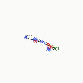 CC1(CCCCCCCn2ncn(-c3ccc(N4CCN(c5ccc(OCC6COC(Cn7cncn7)(c7ccc(Cl)cc7Cl)O6)cc5)CC4)cc3)c2=O)N=N1